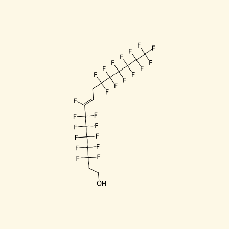 OCCC(F)(F)C(F)(F)C(F)(F)C(F)(F)C(F)(F)C(F)=CCC(F)(F)C(F)(F)C(F)(F)C(F)(F)C(F)(F)C(F)(F)F